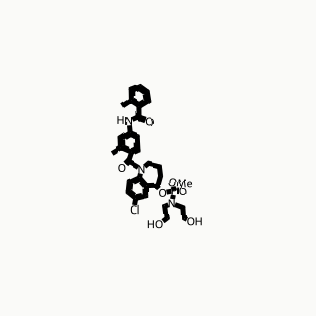 COP(=O)(OC1CCCN(C(=O)c2ccc(NC(=O)c3ccccc3C)cc2C)c2ccc(Cl)cc21)N(CCO)CCO